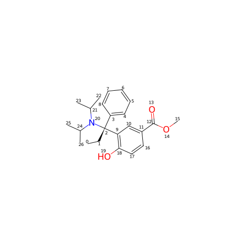 CC[C@@](c1ccccc1)(c1cc(C(=O)OC)ccc1O)N(C(C)C)C(C)C